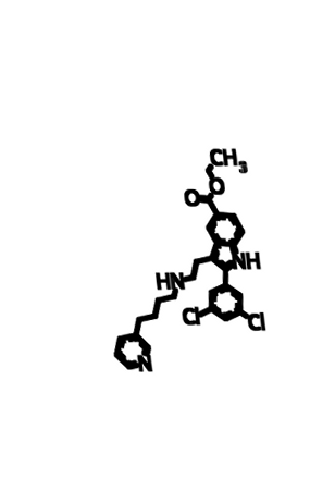 CCOC(=O)c1ccc2[nH]c(-c3cc(Cl)cc(Cl)c3)c(CCNCCCCc3cccnc3)c2c1